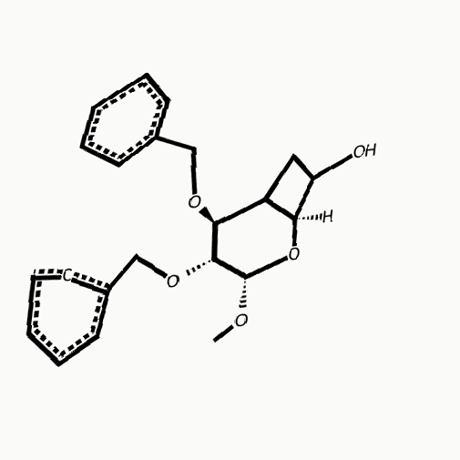 CO[C@H]1O[C@@H]2C(O)CC2[C@H](OCc2ccccc2)[C@H]1OCc1ccccc1